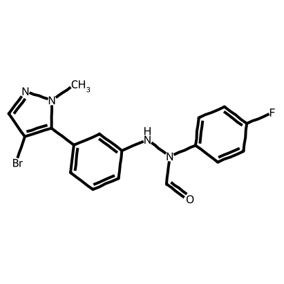 Cn1ncc(Br)c1-c1cccc(NN(C=O)c2ccc(F)cc2)c1